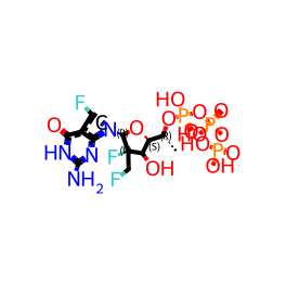 C[C@@H](OP(=O)(O)OP(=O)(O)OP(=O)(O)O)[C@H]1O[C@@H](n2cc(F)c3c(=O)[nH]c(N)nc32)[C@@](F)(CF)C1O